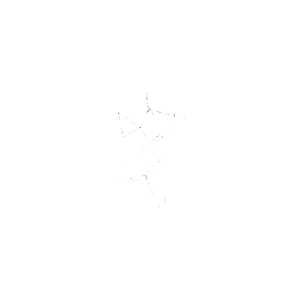 O=C(O)NS(=O)(=O)C1(C(F)F)CC1